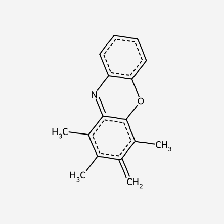 C=c1c(C)c(C)c2c(c1C)Oc1ccccc1N=2